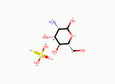 N[C@@H]1C(O)O[C@H](CO)[C@@H](O)[C@@H]1O.O=S(O)(O)=S